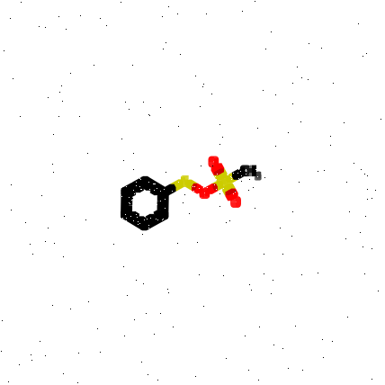 CS(=O)(=O)OSc1ccccc1